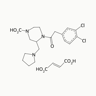 O=C(O)C=CC(=O)O.O=C(O)N1CCN(C(=O)Cc2ccc(Cl)c(Cl)c2)C(CN2CCCC2)C1